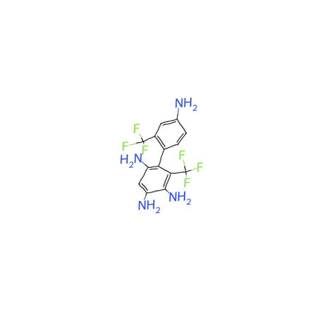 Nc1ccc(-c2c(N)cc(N)c(N)c2C(F)(F)F)c(C(F)(F)F)c1